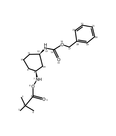 CC(C)(C)C(=O)ON[C@H]1CCC[C@@H](NC(=O)OCc2ccccc2)C1